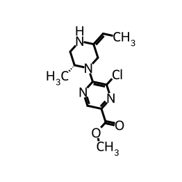 C/C=C1\CN(c2ncc(C(=O)OC)nc2Cl)[C@H](C)CN1